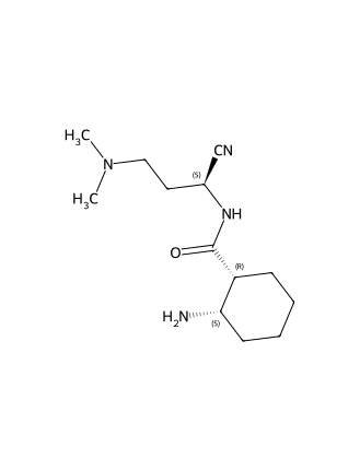 CN(C)CC[C@@H](C#N)NC(=O)[C@@H]1CCCC[C@@H]1N